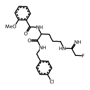 COc1ccccc1C(=O)NC(CCCNC(=N)CF)C(=O)NCc1ccc(Cl)cc1